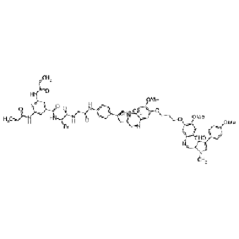 C=CC(=O)Nc1cc(C(=O)NC(C(=O)NCC(=O)Nc2ccc(C3=CN(C)C(/C=N\c4cc(OCCCOc5cc(/N=C\C6CC(c7ccc(OC)cc7)=CN6C)c(C=O)cc5OC)c(OC)cc4C=O)C3)cc2)C(C)C)cc(NC(=O)C=C)n1